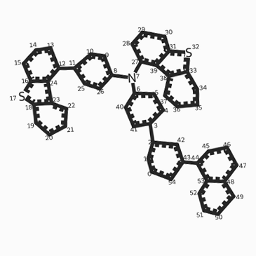 c1cc(-c2ccc(N(c3ccc(-c4cccc5sc6ccccc6c45)cc3)c3cccc4sc5ccccc5c34)cc2)cc(-c2cccc3ccccc23)c1